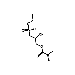 C=C(C)C(=O)OCC(O)CS(=O)(=O)OCC